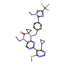 CCN1C(=O)C2(CC2)N(Cc2ccc(-c3nc(C(F)(F)F)cn3CC)cc2)c2nc(-c3c(OC)ncnc3C3CC3)ncc21